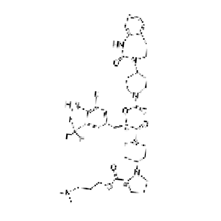 CN(C)CCCOC(=O)[C@@H]1CCCN1C1CCN(C(=O)[C@@H](Cc2cc(Cl)c(N)c(C(F)(F)F)c2)OC(=O)N2CCC(N3CCc4ccccc4NC3=O)CC2)CC1